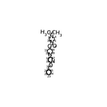 CC(C)N1CCN(C(=O)OC2CCN(c3ccc(OCc4ccccc4)nc3)CC2)CC1